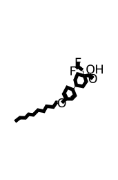 CCCCCCCCCCOC1=CCC([C@H]2CC[C@](CC(F)F)(C(=O)O)CC2)C=C1